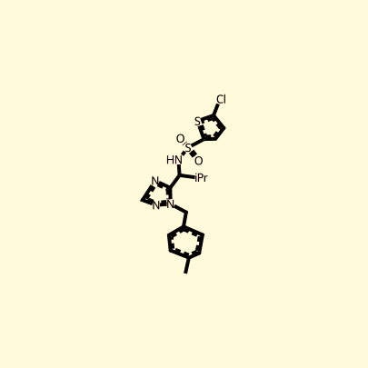 Cc1ccc(Cn2ncnc2C(NS(=O)(=O)c2ccc(Cl)s2)C(C)C)cc1